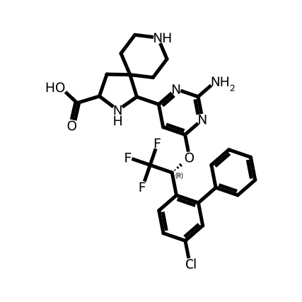 Nc1nc(O[C@H](c2ccc(Cl)cc2-c2ccccc2)C(F)(F)F)cc(C2NC(C(=O)O)CC23CCNCC3)n1